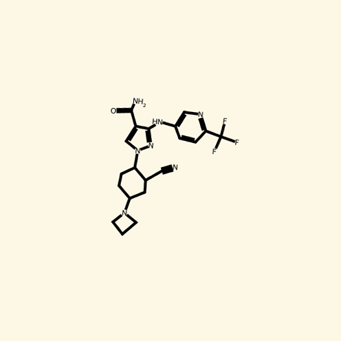 N#CC1CC(N2CCC2)CCC1n1cc(C(N)=O)c(Nc2ccc(C(F)(F)F)nc2)n1